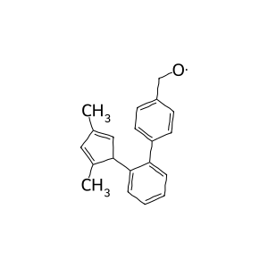 CC1=CC(c2ccccc2-c2ccc(C[O])cc2)C(C)=C1